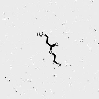 CCCC(=O)OCCBr